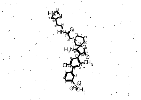 Cc1cc(-c2cccc(S(C)(=O)=O)c2)c(Cl)cc1C1=C(N)C2(CCCN(CC(=O)NCCc3c[nH]cn3)C2)OC1=O